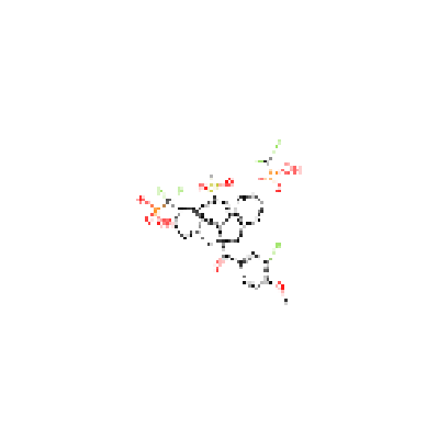 COc1ccc(C(=O)C(Cc2ccc(OP(=O)(O)C(F)F)cc2)(Cc2ccc(C(F)(F)P(=O)(O)O)cc2)c2ccc(S(C)(=O)=O)cc2)cc1F